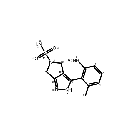 CC(=O)Nc1cccc(C)c1-c1[nH]nc2c1CN(S(N)(=O)=O)C2